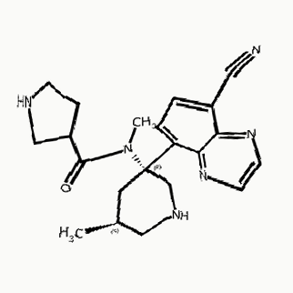 C[C@@H]1CNC[C@@](c2ccc(C#N)c3nccnc23)(N(C)C(=O)C2CCNC2)C1